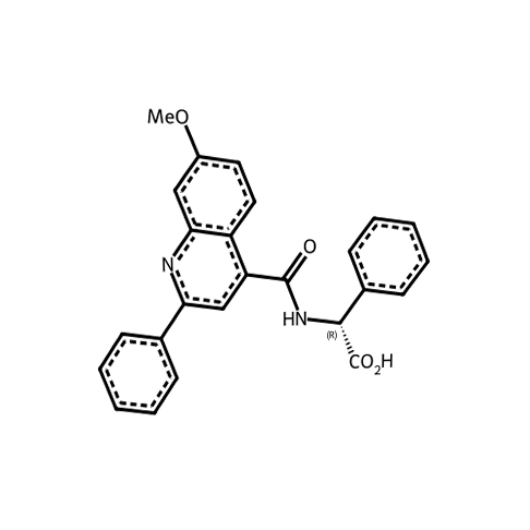 COc1ccc2c(C(=O)N[C@@H](C(=O)O)c3ccccc3)cc(-c3ccccc3)nc2c1